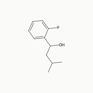 CC(C)CC(O)c1ccccc1F